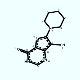 N#Cc1c(N2CCCCC2)sc2c(=O)[nH]cnc12